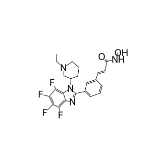 CCN1CCCC(n2c(-c3cccc(/C=C/C(=O)NO)c3)nc3c(F)c(F)c(F)c(F)c32)C1